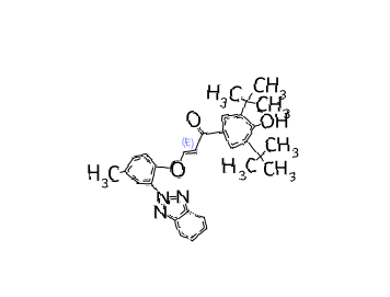 Cc1ccc(O/C=C/C(=O)c2cc(C(C)(C)C)c(O)c(C(C)(C)C)c2)c(-n2nc3ccccc3n2)c1